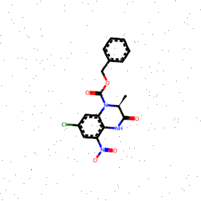 C[C@H]1C(=O)Nc2c(cc(Cl)cc2[N+](=O)[O-])N1C(=O)OCc1ccccc1